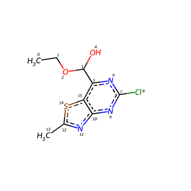 CCOC(O)c1nc(Cl)nc2nc(C)sc12